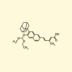 CCOC(OC)Oc1cc2ccc(C=CC(C)=CC(=O)O)cc2cc1C12CC3CC(CC(C3)C1)C2